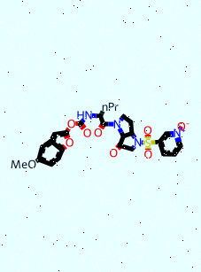 CCCC(NC(=O)Oc1cc2cc(OC)ccc2o1)C(=O)N1CCC2C1C(=O)CN2S(=O)(=O)c1ccc[n+]([O-])c1